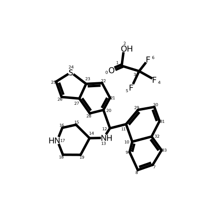 O=C(O)C(F)(F)F.c1ccc2c(C(NC3CCNCC3)c3ccc4sccc4c3)cccc2c1